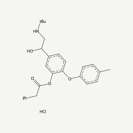 Cc1ccc(Oc2ccc(C(O)CNC(C)(C)C)cc2OC(=O)CC(C)C)cc1.Cl